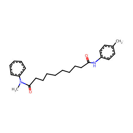 [CH2]c1ccc(NC(=O)CCCCCCCCC(=O)N(C)c2ccccc2)cc1